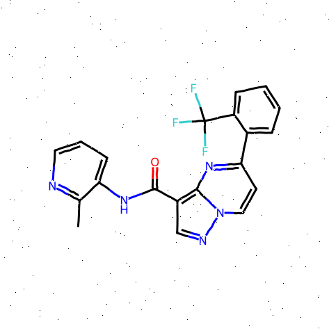 Cc1ncccc1NC(=O)c1cnn2ccc(-c3ccccc3C(F)(F)F)nc12